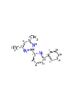 Cc1cc(C)nc(-c2cccc(-c3ccccc3)n2)n1